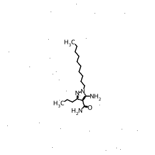 CCCCCCCCCCn1nc(CCC)c(C(N)=O)c1N